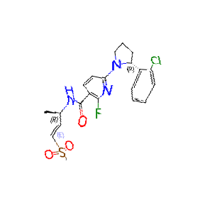 C[C@H](/C=C/S(C)(=O)=O)NC(=O)c1ccc(N2CCC[C@@H]2c2ccccc2Cl)nc1F